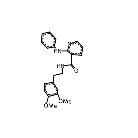 COc1ccc(CCNC(=O)c2cccnc2Nc2ccccc2)cc1OC